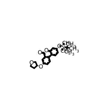 CC(C)(C)[Si](C)(C)Oc1ccc2c(c1)oc(=O)c1cc(O[C@@H]3CCOC3)ccc12